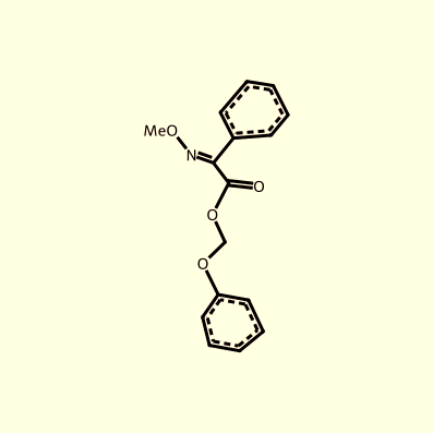 CON=C(C(=O)OCOc1ccccc1)c1ccccc1